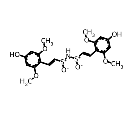 COc1cc(O)cc(OC)c1C=C[S+]([O-])N[S+]([O-])C=Cc1c(OC)cc(O)cc1OC